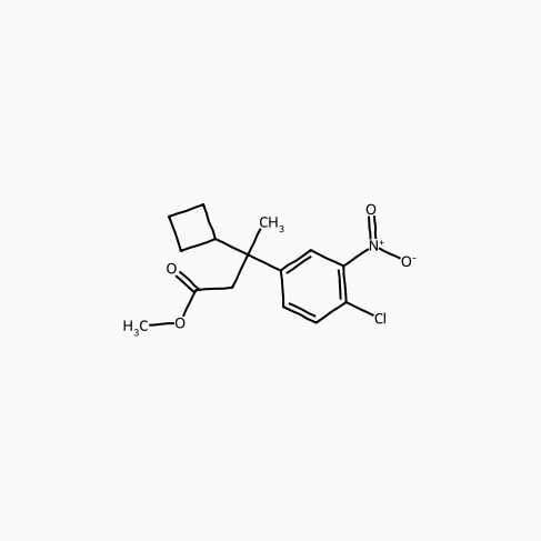 COC(=O)CC(C)(c1ccc(Cl)c([N+](=O)[O-])c1)C1CCC1